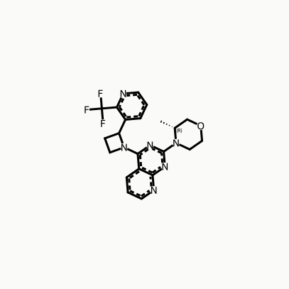 C[C@@H]1COCCN1c1nc(N2CCC2c2cccnc2C(F)(F)F)c2cccnc2n1